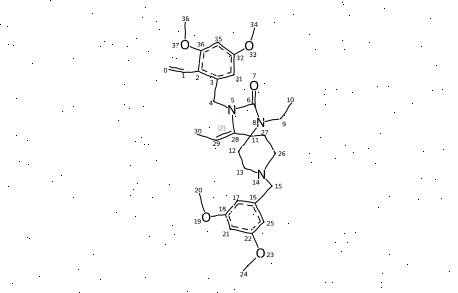 C=Cc1c(CN2C(=O)N(CC)C3(CCN(Cc4cc(OC)cc(OC)c4)CC3)/C2=C/C)cc(OC)cc1OC